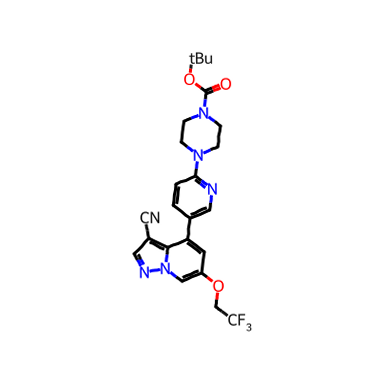 CC(C)(C)OC(=O)N1CCN(c2ccc(-c3cc(OCC(F)(F)F)cn4ncc(C#N)c34)cn2)CC1